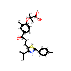 Cc1ccc(-c2nc(C(C)C)c(CCC(=O)c3ccc(OC(C)(C)C(=O)O)c(C)c3)s2)cc1